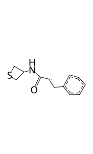 O=C([CH]Cc1ccccc1)NC1CSC1